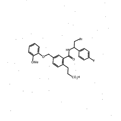 COc1ccccc1OCc1ccc(CCC(=O)O)c(C(=O)NC(CC(C)C)c2ccc(F)cc2)c1